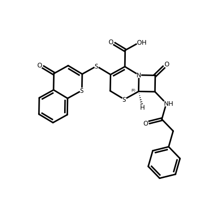 O=C(Cc1ccccc1)NC1C(=O)N2C(C(=O)O)=C(Sc3cc(=O)c4ccccc4s3)CS[C@H]12